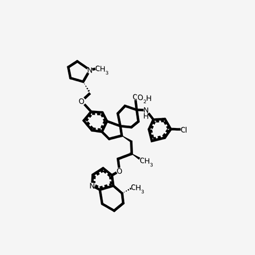 C[C@@H](COc1ccnc2c1[C@H](C)CCC2)C[C@H]1Cc2ccc(OC[C@@H]3CCCN3C)cc2C12CCC(Nc1cccc(Cl)c1)(C(=O)O)CC2